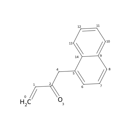 C=CC(=O)Cc1cccc2ccccc12